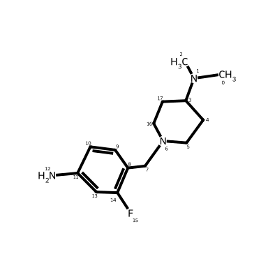 CN(C)C1CCN(Cc2ccc(N)cc2F)CC1